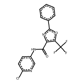 O=C(Nc1ccc(Cl)nc1)c1nc(-c2ccccc2)oc1C(F)(F)F